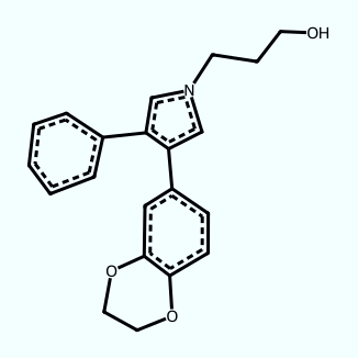 OCCCn1cc(-c2ccccc2)c(-c2ccc3c(c2)OCCO3)c1